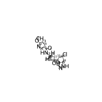 COc1ccc(C(=O)NC2[C@H]3CC(O)(c4cc(Cl)cc5[nH]ncc45)C[C@@H]23)cn1